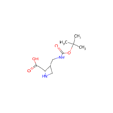 CC(C)(C)OC(=O)NCC1CNC1C(=O)O